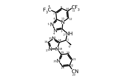 C[C@H](Nc1nnc2c(C(F)(F)F)cc(C(F)(F)F)cn12)c1ncnn1-c1ccc(C#N)cn1